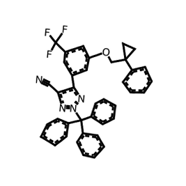 N#Cc1nn(C(c2ccccc2)(c2ccccc2)c2ccccc2)nc1-c1cc(OCC2(c3ccccc3)CC2)cc(C(F)(F)F)c1